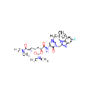 CN(C)C(=O)/C=C/CCC(OC(=O)N(C)C)C(=O)Nc1cncn(Cc2nc3cc(F)ccc3n2CC(C)(C)C)c1=O